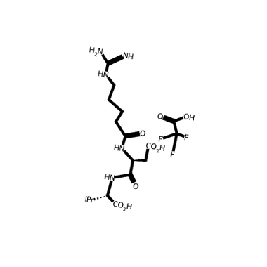 CC(C)[C@H](NC(=O)[C@H](CC(=O)O)NC(=O)CCCCNC(=N)N)C(=O)O.O=C(O)C(F)(F)F